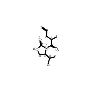 C=CCC(C)C(=O)N1C(=O)OCC1C(C)C